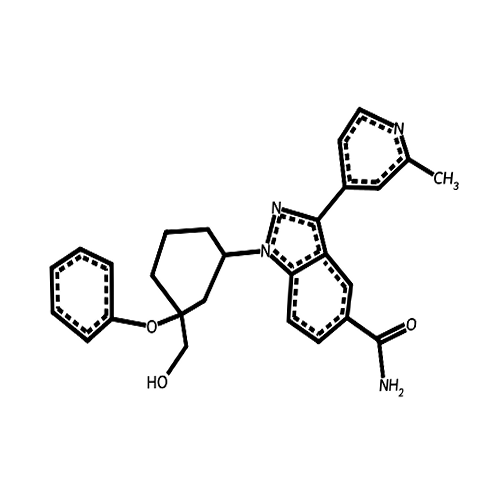 Cc1cc(-c2nn(C3CCCC(CO)(Oc4ccccc4)C3)c3ccc(C(N)=O)cc23)ccn1